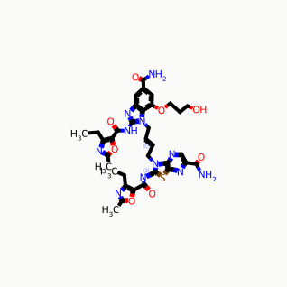 CCc1nc(C)oc1C(=O)/N=c1\sc2nc(C(N)=O)cnc2n1C/C=C/Cn1c(NC(=O)c2oc(C)nc2CC)nc2cc(C(N)=O)cc(OCCCO)c21